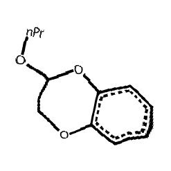 [CH2]CCOC1COc2ccccc2O1